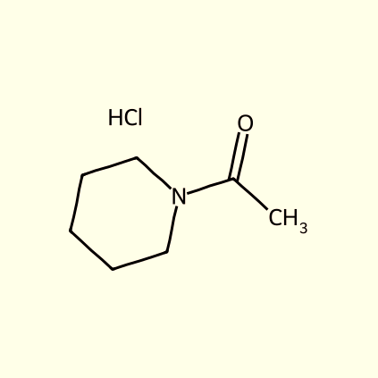 CC(=O)N1CCCCC1.Cl